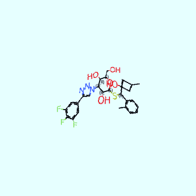 Cc1ccccc1[C@@H](S[C@@H]1O[C@H](CO)[C@H](O)[C@H](n2cc(-c3cc(F)c(F)c(F)c3)nn2)[C@H]1O)C1(O)CC(C)C1